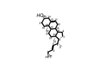 CC(C)C/C=C/[C@@H](C)[C@H]1CCC2C3CC=C4C[C@@H](O)CC[C@]4(C)C3CC[C@@]21C